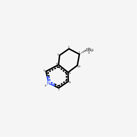 CC(C)(C)[C@H]1CCc2cnccc2C1